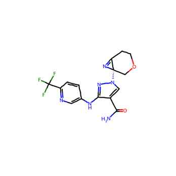 NC(=O)c1cn([C@@]23COCCC2=N3)nc1Nc1ccc(C(F)(F)F)nc1